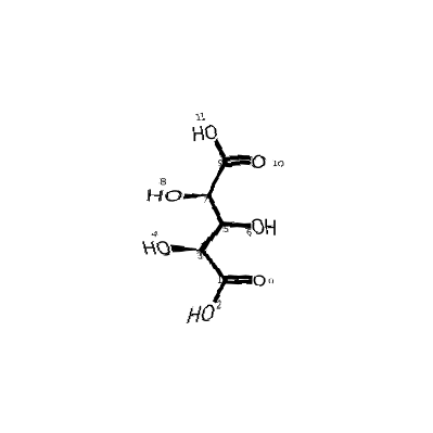 O=C(O)[C@@H](O)C(O)[C@@H](O)C(=O)O